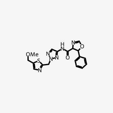 COCc1cnc(Cn2ncc(NC(=O)C3N=COC3c3ccccc3)n2)s1